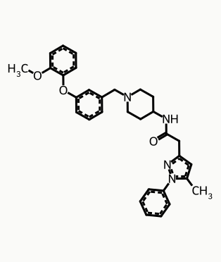 COc1ccccc1Oc1cccc(CN2CCC(NC(=O)Cc3cc(C)n(-c4ccccc4)n3)CC2)c1